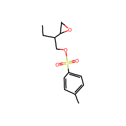 CCC(COS(=O)(=O)c1ccc(C)cc1)C1CO1